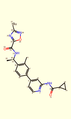 Cc1cc(-c2ccnc(NC(=O)C3CC3)c2)ccc1[C@@H](C)NC(=O)c1nc(C(C)(C)C)no1